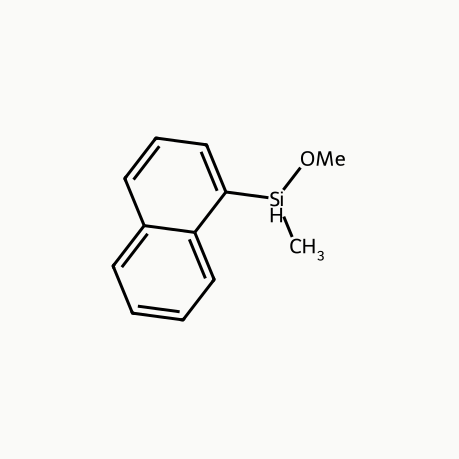 CO[SiH](C)c1cccc2ccccc12